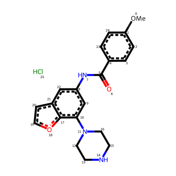 COc1ccc(C(=O)Nc2cc(N3CCNCC3)c3occc3c2)cc1.Cl